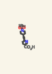 CC(C)(C)OC(=O)N1CCC(C#Cc2ccc(C(=O)O)cn2)CC1